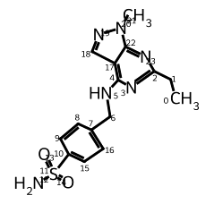 CCc1nc(NCc2ccc(S(N)(=O)=O)cc2)c2cnn(C)c2n1